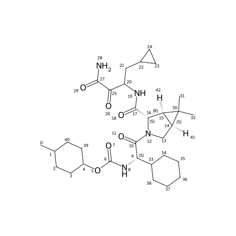 CC1CCC(OC(=O)N[C@H](C(=O)N2C[C@H]3[C@@H]([C@H]2C(=O)NC(CC2CC2)C(=O)C(N)=O)C3(C)C)C2CCCCC2)CC1